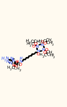 CC(C)(C)OC(=O)N1CCN(C(=O)CCCCCCCCCCNC(=O)[C@H]2O[C@@H](n3cnc4c(N)ncnc43)[C@@H]3OC(C)(C)O[C@@H]32)CCN(C(=O)OC(C)(C)C)CCN(C(=O)OC(C)(C)C)CC1